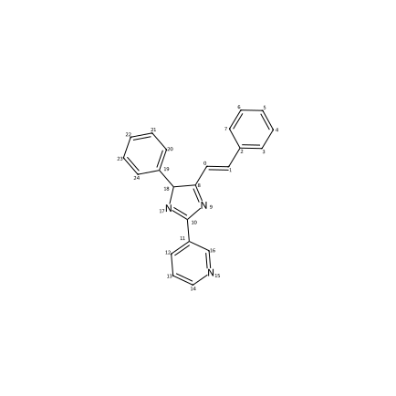 C(=C\c1ccccc1)/C1=NC(c2cccnc2)=NC1c1ccccc1